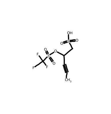 CC#CC(CS(=O)(=O)O)OS(=O)(=O)C(F)(F)F